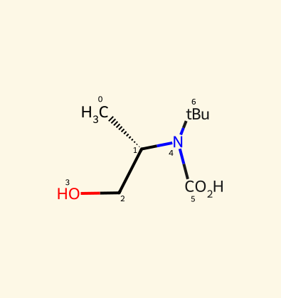 C[C@@H](CO)N(C(=O)O)C(C)(C)C